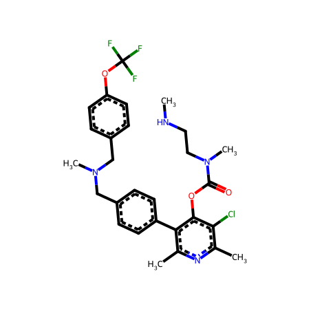 CNCCN(C)C(=O)Oc1c(Cl)c(C)nc(C)c1-c1ccc(CN(C)Cc2ccc(OC(F)(F)F)cc2)cc1